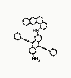 Nc1ccc2c(C#Cc3ccccc3)c3cc(Nc4cccc5ccc6cc7ccccc7cc6c45)ccc3c(C#Cc3ccccc3)c2c1